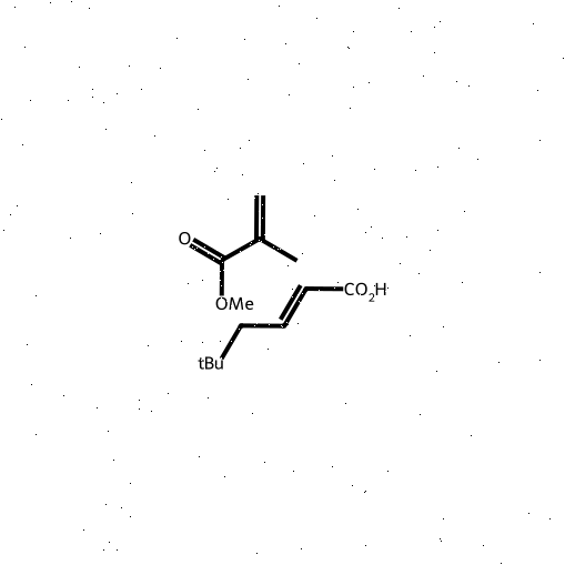 C=C(C)C(=O)OC.CC(C)(C)CC=CC(=O)O